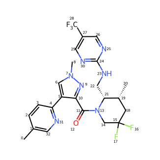 Cc1ccc(-c2cn(C)nc2C(=O)N2CC(F)(F)C[C@@H](C)[C@H]2CNc2ncc(C(F)(F)F)cn2)nc1